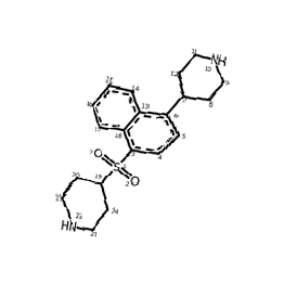 O=S(=O)(c1ccc(C2CCNCC2)c2ccccc12)C1CCNCC1